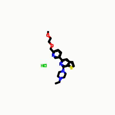 CCN1CCN(c2nc(-c3ccc(COCCOC)nc3)cc3ccsc23)CC1.Cl